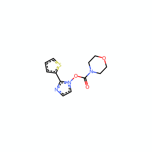 O=C(On1ccnc1-c1cccs1)N1CCOCC1